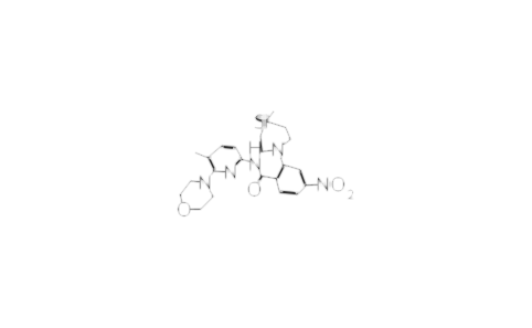 Cc1ccc(NC(=O)c2ccc([N+](=O)[O-])cc2N2CC[Si](C)(C)CC2)nc1N1CCOCC1